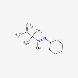 C=C(C)C(C)(C)/C(C#N)=N/C1CCCCC1